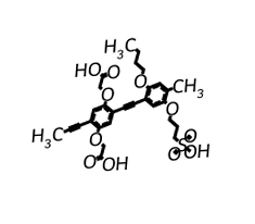 CC#Cc1cc(OCC(=O)O)c(C#Cc2cc(OCCCS(=O)(=O)O)c(C)cc2OCCCC)cc1OCC(=O)O